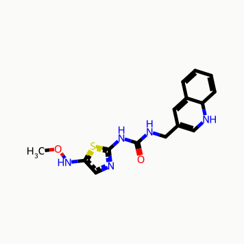 CONc1cnc(NC(=O)NCC2=CNC3C=CC=CC3=C2)s1